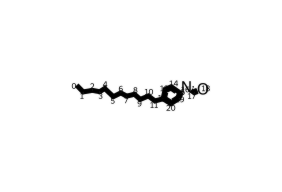 CCCCCCCCCCCCc1ccc([N]C=O)cc1